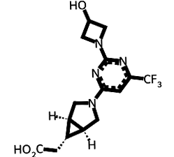 O=C(O)C[C@@H]1[C@H]2CN(c3cc(C(F)(F)F)nc(N4CC(O)C4)n3)C[C@@H]12